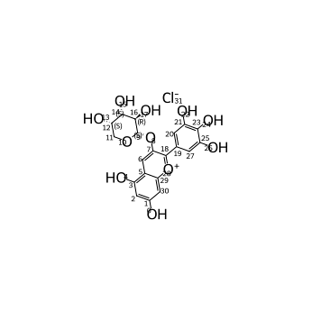 Oc1cc(O)c2cc(O[C@@H]3OC[C@H](O)[C@H](O)[C@H]3O)c(-c3cc(O)c(O)c(O)c3)[o+]c2c1.[Cl-]